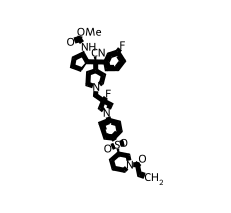 C=CC(=O)N1CCC[C@@H](S(=O)(=O)c2ccc(N3CC(F)(CN4CCC([C@@](C#N)(c5cccc(F)c5)[C@H]5CCC[C@@H]5NC(=O)OC)CC4)C3)cc2)C1